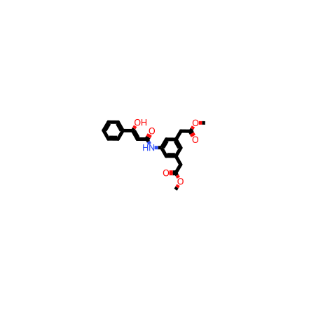 COC(=O)Cc1cc(CC(=O)OC)cc(NC(=O)C=C(O)c2ccccc2)c1